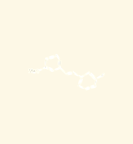 COc1cccc(/C=C/c2cccc(F)c2)c1